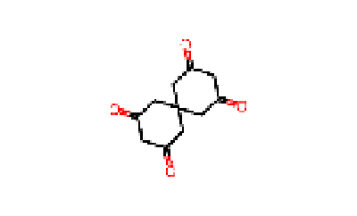 O=C1CC(=O)CC2(C1)CC(=O)CC(=O)C2